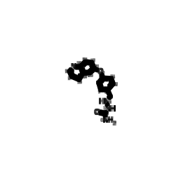 NC(=O)NNCc1ccc(Oc2ccc3ncccc3c2)cc1